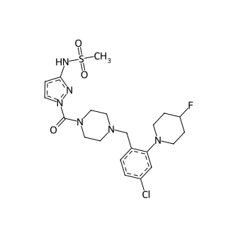 CS(=O)(=O)Nc1ccn(C(=O)N2CCN(Cc3ccc(Cl)cc3N3CCC(F)CC3)CC2)n1